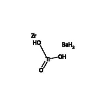 [BaH2].[O]=[Ti]([OH])[OH].[Zr]